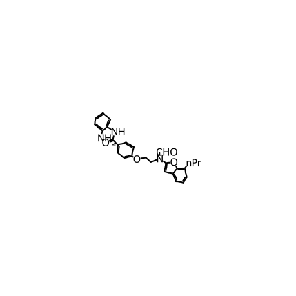 CCCc1cccc2cc(N(C=O)CCOc3ccc(C(=O)Nc4ccccc4N)cc3)oc12